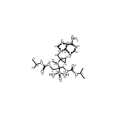 CC(C)OC(=O)OCC(COC(=O)OC(C)C)(N(C)C1(Cn2cnc3c(N)ncnc32)CC1)P(=O)(O)O